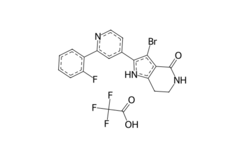 O=C(O)C(F)(F)F.O=C1NCCc2[nH]c(-c3ccnc(-c4ccccc4F)c3)c(Br)c21